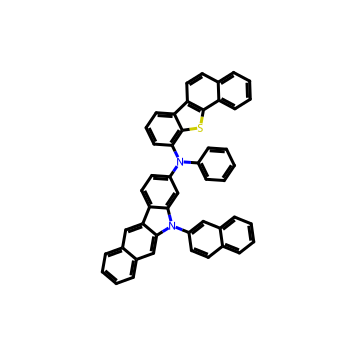 c1ccc(N(c2ccc3c4cc5ccccc5cc4n(-c4ccc5ccccc5c4)c3c2)c2cccc3c2sc2c4ccccc4ccc32)cc1